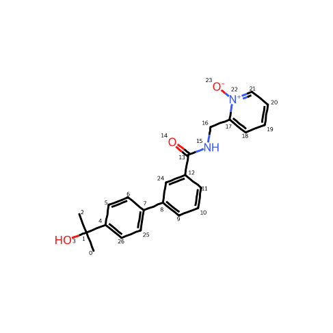 CC(C)(O)c1ccc(-c2cccc(C(=O)NCc3cccc[n+]3[O-])c2)cc1